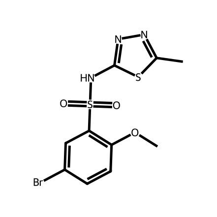 COc1ccc(Br)cc1S(=O)(=O)Nc1nnc(C)s1